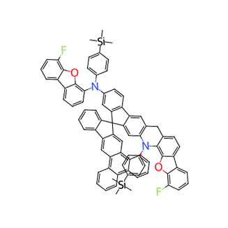 C[Si](C)(C)c1ccc(N(c2ccc3c(c2)C2(c4ccccc4-c4cc5c6ccccc6c6ccccc6c5cc42)c2cc4c(cc2-3)Cc2ccc3c(oc5c(F)cccc53)c2N4c2ccc([Si](C)(C)C)cc2)c2cccc3c2oc2c(F)cccc23)cc1